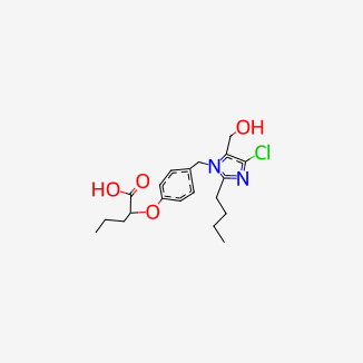 CCCCc1nc(Cl)c(CO)n1Cc1ccc(OC(CCC)C(=O)O)cc1